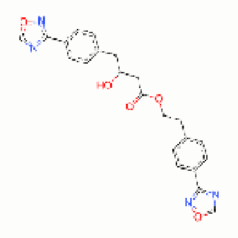 O=C(CC(O)Cc1ccc(-c2ncon2)cc1)OCCc1ccc(-c2ncon2)cc1